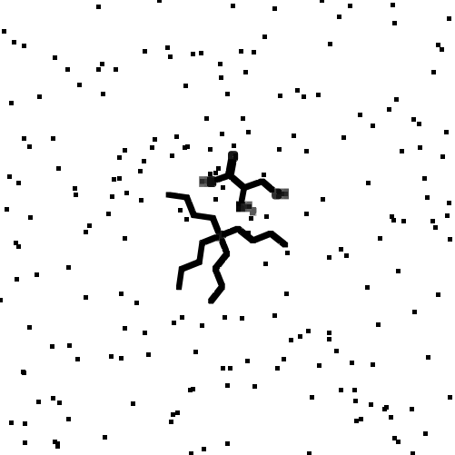 CCCC[P](CCCC)(CCCC)CCCC.NC(CO)C(=O)O